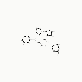 CCc1cccc(CNC[C@@H](O)[C@H](Cc2cc(F)cc(F)c2)NC(=O)c2c(-n3cccc3)sc(C)c2C)c1